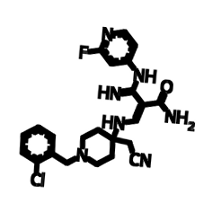 N#CCC1(N/C=C(\C(=N)Nc2ccnc(F)c2)C(N)=O)CCN(Cc2ccccc2Cl)CC1